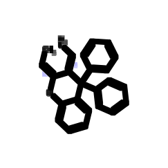 C/C=C1\C(=C/C)Oc2ccccc2C1(c1ccccc1)c1ccccc1